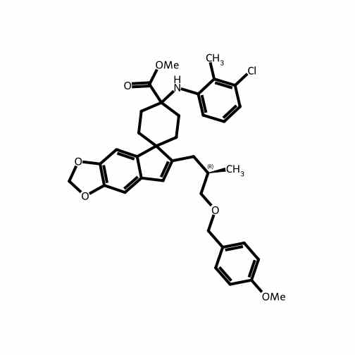 COC(=O)C1(Nc2cccc(Cl)c2C)CCC2(CC1)C(C[C@@H](C)COCc1ccc(OC)cc1)=Cc1cc3c(cc12)OCO3